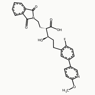 COc1ccc(-c2ccc(F)c(CC[C@@H](O)[C@H](CCN3C(=O)c4ccccc4C3=O)C(=O)O)c2)cn1